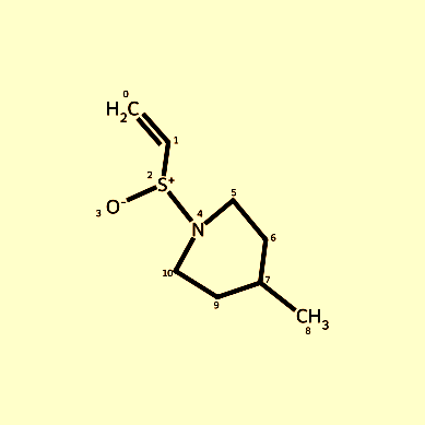 C=C[S+]([O-])N1CCC(C)CC1